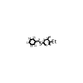 C=C(CC(C)C(=C)CC)SCc1ccccc1